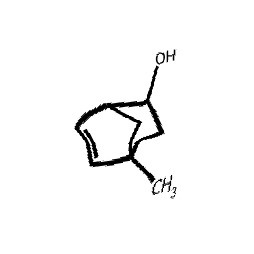 CC12C=CC(C1)C(O)C2